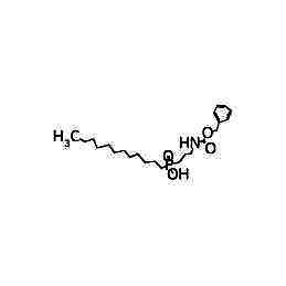 CCCCCCCCCCCCP(=O)(O)CCCNC(=O)OCc1ccccc1